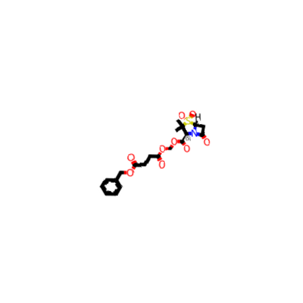 CC1(C)[C@H](C(=O)OCOC(=O)CCC(=O)OCc2ccccc2)N2C(=O)C[C@H]2S1(=O)=O